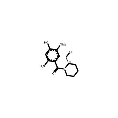 COc1cc(C(=O)N2CCCC[C@H]2CO)c([N+](=O)[O-])cc1O